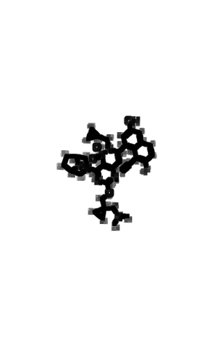 C#Cc1c(F)ccc2cc(O)cc(C3=Cc4nc(OCC5(CN(C)C)CC5)nc(N5CC6CCC(C5)N6)c4S(=O)(=O)N3CC3CC3)c12